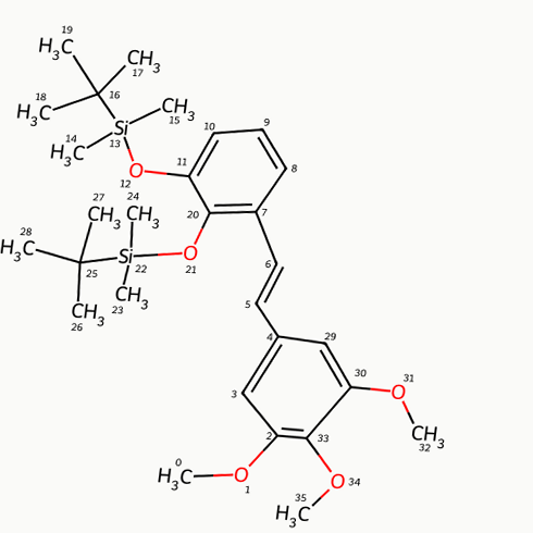 COc1cc(C=Cc2cccc(O[Si](C)(C)C(C)(C)C)c2O[Si](C)(C)C(C)(C)C)cc(OC)c1OC